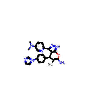 CN(C)c1ccc(-c2n[nH]c3c2C(c2ccc(-n4ccnc4)cc2)C(C#N)=C(N)O3)nc1